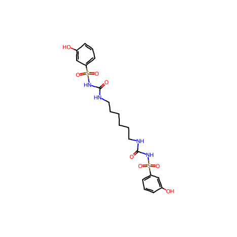 O=C(NCCCCCCNC(=O)NS(=O)(=O)c1cccc(O)c1)NS(=O)(=O)c1cccc(O)c1